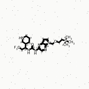 C[Si](C)(C)CCOCn1ccc2nc(NC(=O)NC(CC(F)(F)F)C3CCCNC3)cnc21